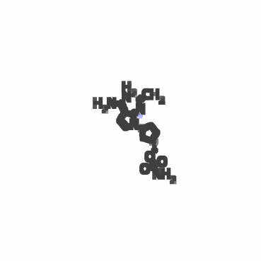 C=C/N=C1\C(=C(N)N)C=CN1[C@@H]1CC[C@H](COS(N)(=O)=O)C1